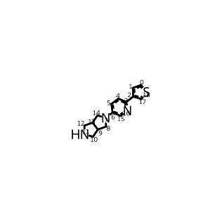 c1cc(-c2ccc(N3CC4CNCC4C3)cn2)cs1